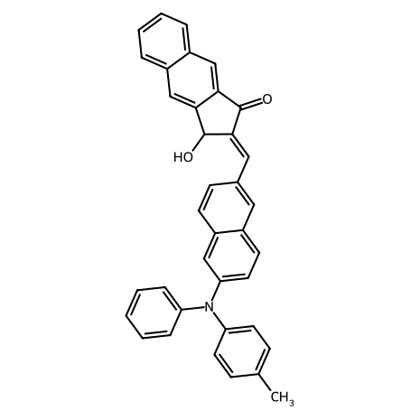 Cc1ccc(N(c2ccccc2)c2ccc3cc(C=C4C(=O)c5cc6ccccc6cc5C4O)ccc3c2)cc1